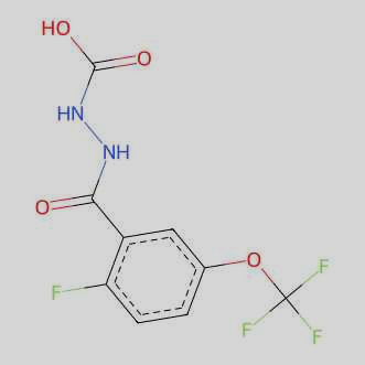 O=C(O)NNC(=O)c1cc(OC(F)(F)F)ccc1F